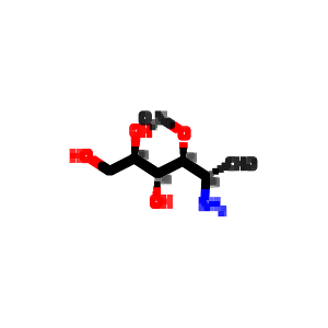 N[C@@H](C=O)[C@@H](O[N+](=O)[O-])[C@H](O)[C@H](O)CO